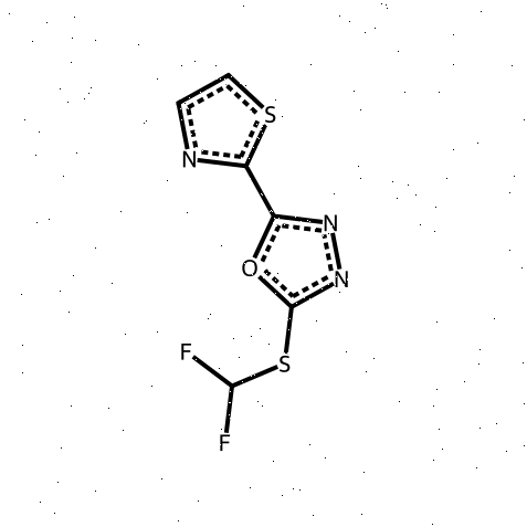 FC(F)Sc1nnc(-c2nccs2)o1